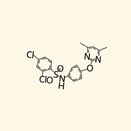 Cc1cc(C)nc(Oc2ccc(NS(=O)(=O)c3ccc(Cl)cc3Cl)cc2)n1